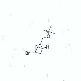 C[Si](C)(C)OCC1C[C@]2(Br)C[C@@H]1C2